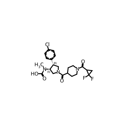 CN(C(=O)O)[C@@H]1CN(C(=O)C2CCN(C(=O)C3CC3(F)F)CC2)C[C@H]1c1ccc(Cl)cc1